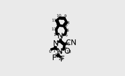 Cc1nc(N2CCc3ccccc3CC2)c(C#N)c(=O)n1C(F)F